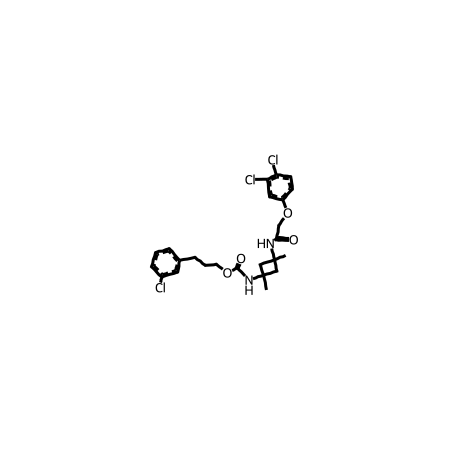 CC1(NC(=O)COc2ccc(Cl)c(Cl)c2)CC(C)(NC(=O)OCCCc2cccc(Cl)c2)C1